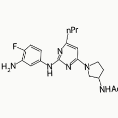 CCCc1cc(N2CCC(NC(C)=O)C2)nc(Nc2ccc(F)c(N)c2)n1